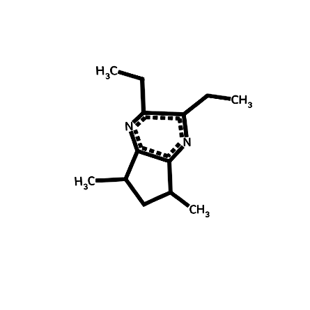 CCc1nc2c(nc1CC)C(C)CC2C